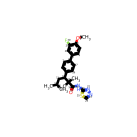 COc1ccc(-c2ccc(C(CC(C)C)C(C)(C)C(=O)Nc3nncs3)cc2)cc1F